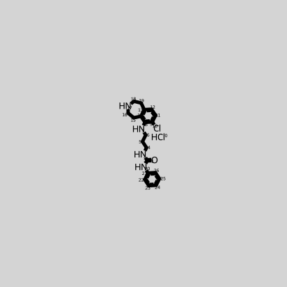 Cl.O=C(NCCCNc1c(Cl)ccc2c1CCNCC2)Nc1ccccc1